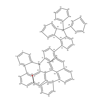 c1ccc(-c2ccccc2N(c2ccc(-c3cccc4c3-c3ccccc3C4(c3ccccc3)c3ccccc3)cc2)c2ccccc2-c2cccc3cccc(-c4ccccc4)c23)cc1